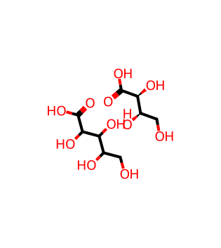 O=C(O)C(O)C(O)C(O)CO.O=C(O)[C@@H](O)[C@H](O)CO